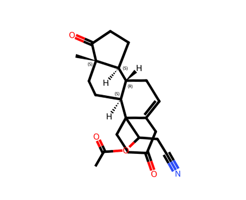 CC(=O)OC(CC#N)C12CCC(=O)CC1=CC[C@@H]1[C@@H]2CC[C@]2(C)C(=O)CC[C@@H]12